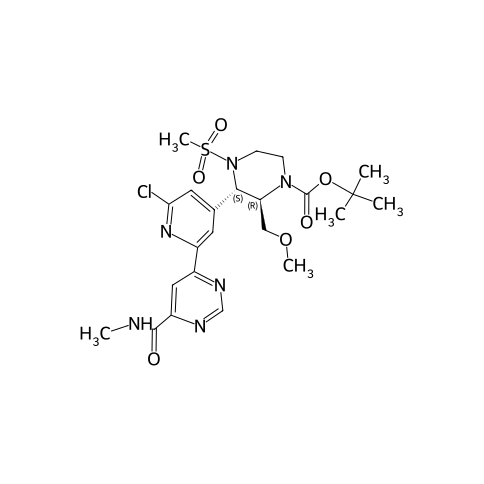 CNC(=O)c1cc(-c2cc([C@H]3[C@H](COC)N(C(=O)OC(C)(C)C)CCN3S(C)(=O)=O)cc(Cl)n2)ncn1